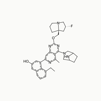 CCc1cccc2cc(O)cc(-c3cc4nc(OC[C@@]56CCCN5C[C@H](F)C6)nc(N5CC6CCC(C5)N6)c4c(C)n3)c12